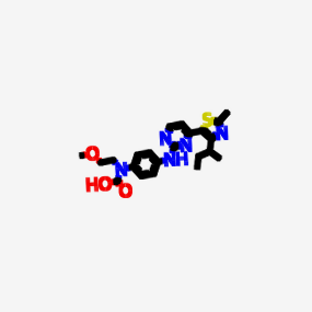 CCC(C)c1nc(C)sc1-c1ccnc(Nc2ccc(N(CCOC)C(=O)O)cc2)n1